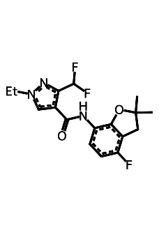 CCn1cc(C(=O)Nc2ccc(F)c3c2OC(C)(C)C3)c(C(F)F)n1